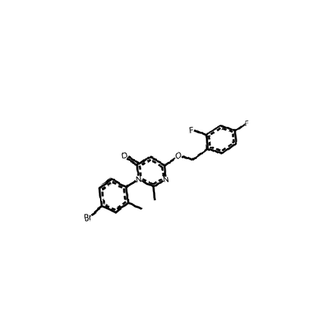 Cc1cc(Br)ccc1-n1c(C)nc(OCc2ccc(F)cc2F)cc1=O